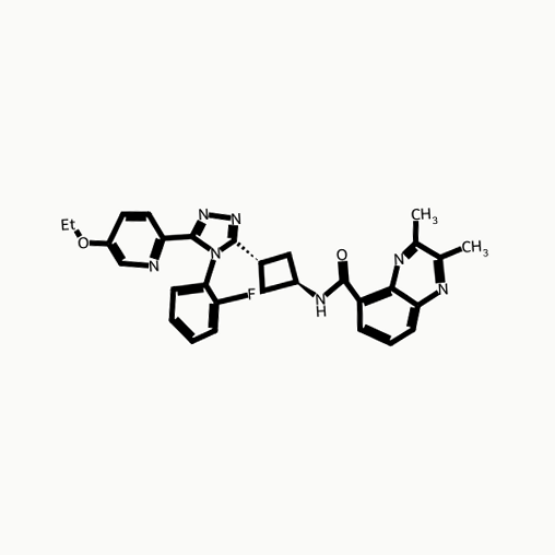 CCOc1ccc(-c2nnc([C@H]3C[C@H](NC(=O)c4cccc5nc(C)c(C)nc45)C3)n2-c2ccccc2F)nc1